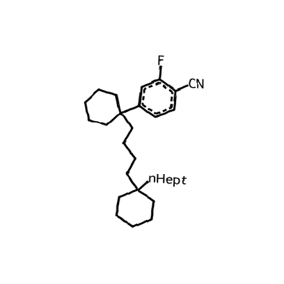 CCCCCCCC1(CCCCC2(c3ccc(C#N)c(F)c3)CCCCC2)CCCCC1